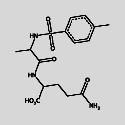 Cc1ccc(S(=O)(=O)NC(C)C(=O)NC(CCC(N)=O)C(=O)O)cc1